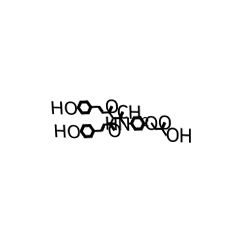 C=C(Nc1ccc(OCC(=O)CO)cc1)C(C(=O)/C=C/c1ccc(O)cc1)C(=O)/C=C/c1ccc(O)cc1